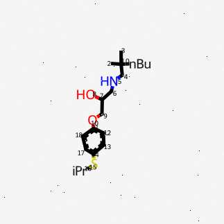 CCCCC(C)(C)CNCC(O)COc1ccc(SC(C)C)cc1